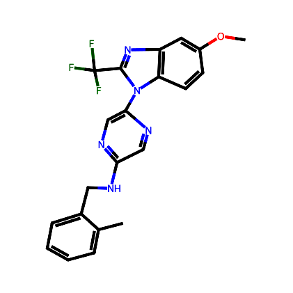 COc1ccc2c(c1)nc(C(F)(F)F)n2-c1cnc(NCc2ccccc2C)cn1